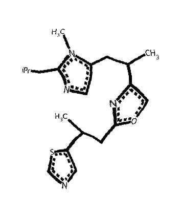 CC(C)c1ncc(CC(C)c2coc(CC(C)c3cncs3)n2)n1C